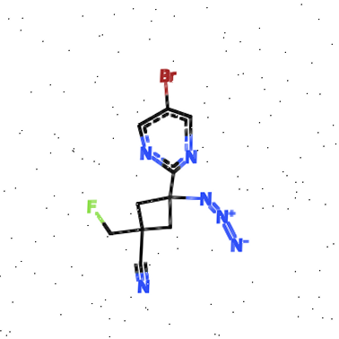 N#CC1(CF)CC(N=[N+]=[N-])(c2ncc(Br)cn2)C1